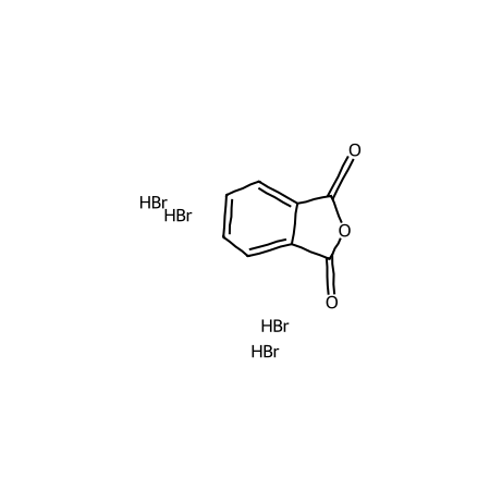 Br.Br.Br.Br.O=C1OC(=O)c2ccccc21